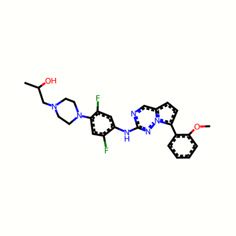 COc1ccccc1-c1ccc2cnc(Nc3cc(F)c(N4CCN(CC(C)O)CC4)cc3F)nn12